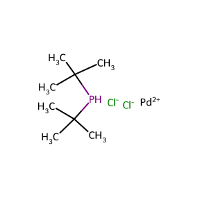 CC(C)(C)PC(C)(C)C.[Cl-].[Cl-].[Pd+2]